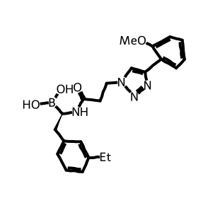 CCc1cccc(C[C@H](NC(=O)CCn2cc(-c3ccccc3OC)nn2)B(O)O)c1